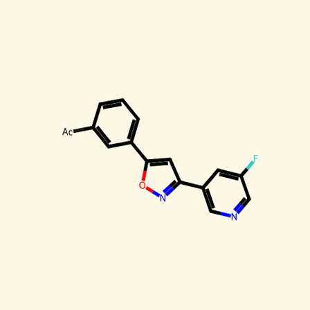 CC(=O)c1cccc(-c2cc(-c3cncc(F)c3)no2)c1